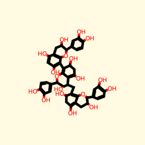 OC1=C2CC(O)C(c3ccc(O)c(O)c3)OC2=C(CC2C3=C(O)CC(O)C(c4c(O)cc(O)c5c4OC(c4ccc(O)c(O)c4)C(O)C5)=C3OC(c3ccc(O)c(O)c3)C2O)C(O)C1